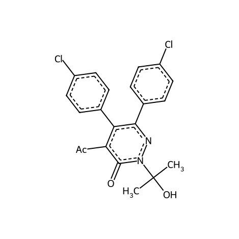 CC(=O)c1c(-c2ccc(Cl)cc2)c(-c2ccc(Cl)cc2)nn(C(C)(C)O)c1=O